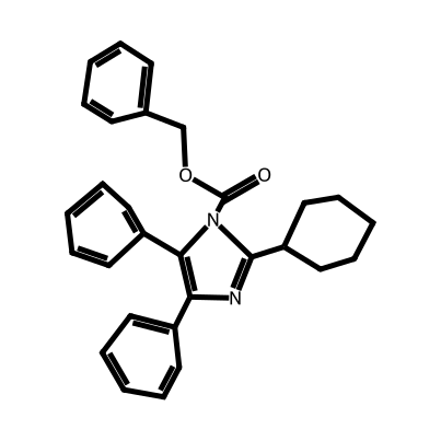 O=C(OCc1ccccc1)n1c(C2CCCCC2)nc(-c2ccccc2)c1-c1ccccc1